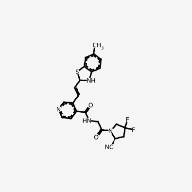 Cc1ccc2c(c1)SC(/C=C/c1cnccc1C(=O)NCC(=O)N1CC(F)(F)C[C@H]1C#N)N2